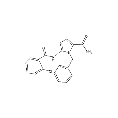 NC(=O)c1ccc(NC(=O)c2ccccc2Cl)n1Cc1ccccc1